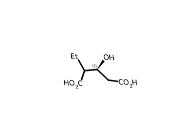 CCC(C(=O)O)[C@@H](O)CC(=O)O